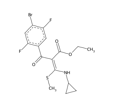 CCOC(=O)C(C(=O)c1cc(F)c(Br)cc1F)=C(NC1CC1)SC